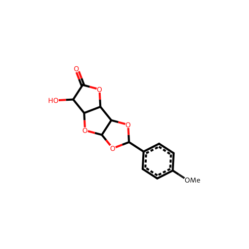 COc1ccc(C2OC3OC4C(O)C(=O)OC4C3O2)cc1